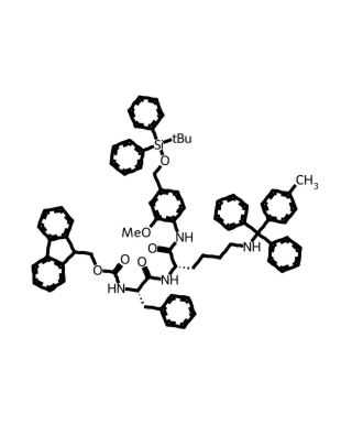 COc1cc(CO[Si](c2ccccc2)(c2ccccc2)C(C)(C)C)ccc1NC(=O)[C@H](CCCCNC(c1ccccc1)(c1ccccc1)c1ccc(C)cc1)NC(=O)[C@H](Cc1ccccc1)NC(=O)OCC1c2ccccc2-c2ccccc21